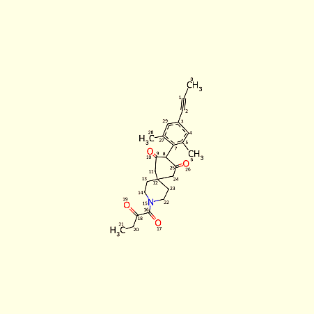 CC#Cc1cc(C)c(C2C(=O)CC3(CCN(C(=O)C(=O)CC)CC3)CC2=O)c(C)c1